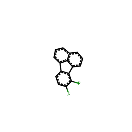 Fc1ccc2c(c1F)-c1cccc3cccc-2c13